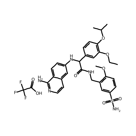 CCOc1cc(C(Nc2ccc3c(N)nccc3c2)C(=O)NCc2cc(S(N)(=O)=O)ccc2OC)ccc1OC(C)C.O=C(O)C(F)(F)F